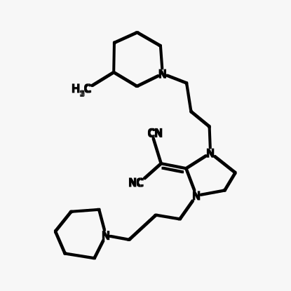 CC1CCCN(CCCN2CCN(CCCN3CCCCC3)C2=C(C#N)C#N)C1